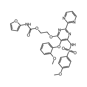 COc1ccc(S(=O)(=O)Nc2nc(-c3ncccn3)nc(OCCOC(=O)Nc3ccco3)c2Oc2ccccc2OC)cc1